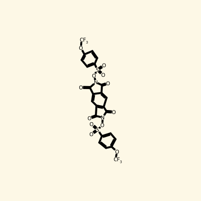 O=c1c2cc3c(=O)n(OS(=O)(=O)c4ccc(OC(F)(F)F)cc4)c(=O)c3cc2c(=O)n1OS(=O)(=O)c1ccc(OC(F)(F)F)cc1